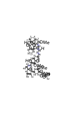 CO[C@@H](C[C@@H]1CC[C@@H](C)[C@](O)(C(=O)C(=O)N2CCCC[C@H]2C(=O)O)O1)/C(C)=C/C=C/C=C/[C@@H](C)C[C@@H](C)C(=O)[C@H](OC)[C@H](O)/C(C)=C/[C@@H](C)C(=O)C[C@H](C)[C@H](C)C[C@@H]1CC[C@@H](OC(=O)NS(C)(=O)=O)[C@H](OC)C1